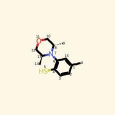 Cc1ccc(S)c(N2[C@@H](C)COC[C@@H]2C)c1